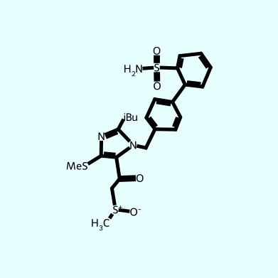 CCC(C)c1nc(SC)c(C(=O)C[S+](C)[O-])n1Cc1ccc(-c2ccccc2S(N)(=O)=O)cc1